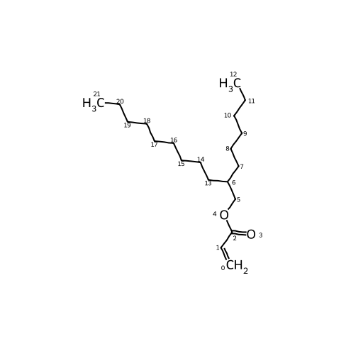 C=CC(=O)OCC(CCCCCC)CCCCCCCCC